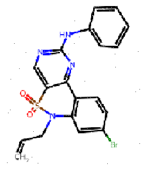 C=CCN1c2cc(Br)ccc2-c2nc(Nc3ccccc3)ncc2S1(=O)=O